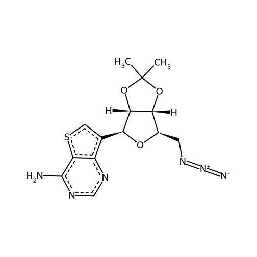 CC1(C)O[C@@H]2[C@H](O1)[C@@H](CN=[N+]=[N-])O[C@H]2c1csc2c(N)ncnc12